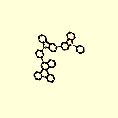 c1ccc(-n2c3ccccc3c3cc(-c4ccc5c(c4)c4ccccc4n5-c4cccc(-c5cc6c7ccccc7c7ccccc7c6c6ccccc56)c4)ccc32)cc1